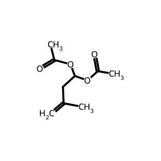 C=C(C)CC(OC(C)=O)OC(C)=O